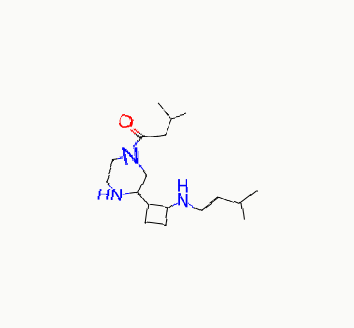 CC(C)CCNC1CCC1C1CN(C(=O)CC(C)C)CCN1